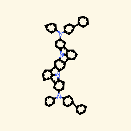 c1ccc(-c2ccc(N(c3ccccc3)c3ccc4c(c3)c3cccc5c6cc7c(cc6n4c35)c3cccc4c5cc(N(c6ccccc6)c6ccc(-c8ccccc8)cc6)ccc5n7c43)cc2)cc1